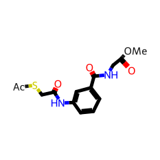 COC(=O)CNC(=O)c1cccc(NC(=O)CSC(C)=O)c1